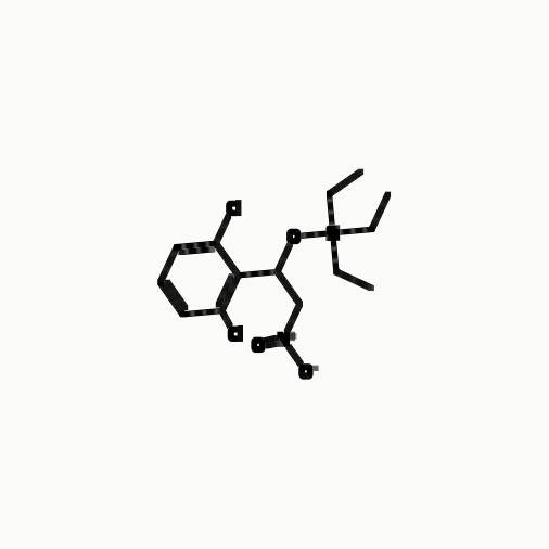 CC[Si](CC)(CC)OC(C[N+](=O)[O-])c1c(Cl)cccc1Cl